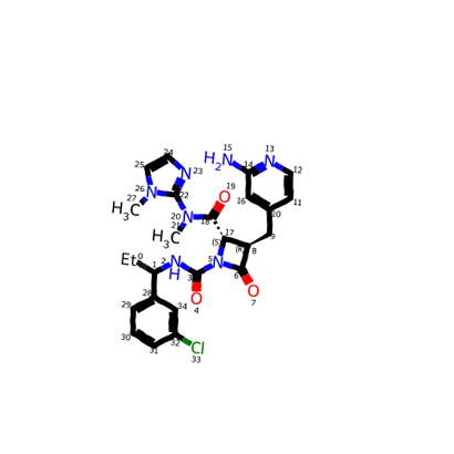 CCC(NC(=O)N1C(=O)[C@H](Cc2ccnc(N)c2)[C@H]1C(=O)N(C)c1nccn1C)c1cccc(Cl)c1